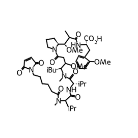 CC[C@H](C)C(C(CC(=O)N1CCC[C@H]1[C@H](OC)C(C)C(=O)N[C@@H](Cc1ccccc1OC)C(=O)O)OC)N(C)C(=O)[C@@H](NC(=O)C(C(C)C)N(C)C(=O)CCCCCN1C(=O)C=CC1=O)C(C)C